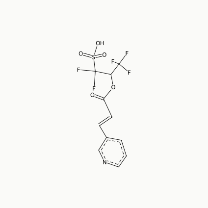 O=C(/C=C/c1cccnc1)OC(C(F)(F)F)C(F)(F)S(=O)(=O)O